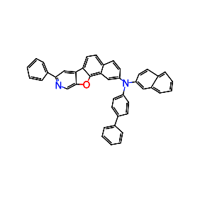 c1ccc(-c2ccc(N(c3ccc4ccccc4c3)c3ccc4ccc5c6cc(-c7ccccc7)ncc6oc5c4c3)cc2)cc1